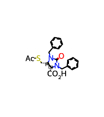 CC(=O)SC[C@H]1[C@@H](C(=O)O)N(Cc2ccccc2)C(=O)N1Cc1ccccc1